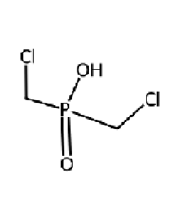 O=P(O)(CCl)CCl